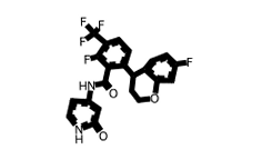 O=C(Nc1cc[nH]c(=O)c1)c1c(C2CCOc3cc(F)ccc32)ccc(C(F)(F)F)c1F